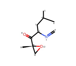 C=NC(CC(C)C)C(=O)[C@@]1(C)CO1